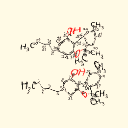 CCCCCc1cc(O)c2c(c1)OC(C)(C)c1ccc(C)cc1-2.CCCCCc1cc(O)c2c(c1)OC(C)(C)c1ccc(C)cc1-2